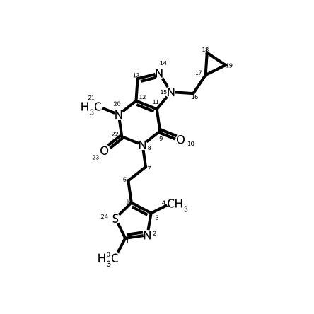 Cc1nc(C)c(CCn2c(=O)c3c(cnn3CC3CC3)n(C)c2=O)s1